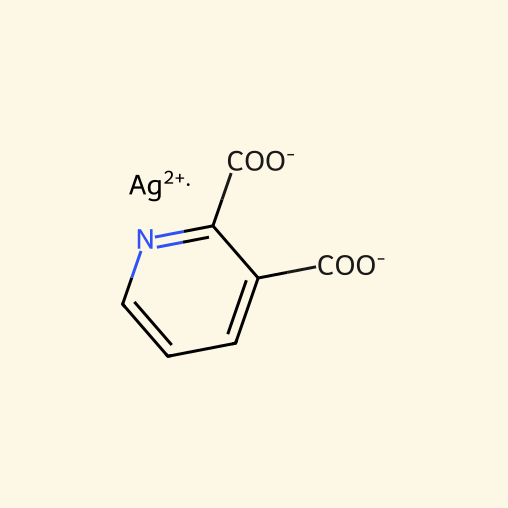 O=C([O-])c1cccnc1C(=O)[O-].[Ag+2]